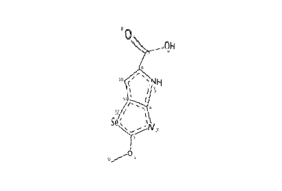 COc1nc2[nH]c(C(=O)O)cc2[se]1